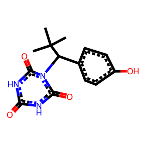 CC(C)(C)C(c1ccc(O)cc1)n1c(=O)[nH]c(=O)[nH]c1=O